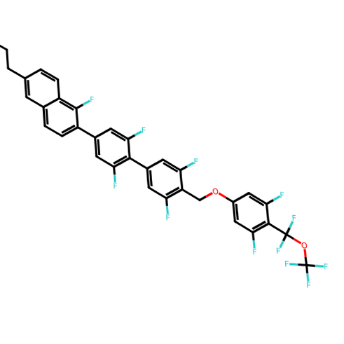 CCCc1ccc2c(F)c(-c3cc(F)c(-c4cc(F)c(COc5cc(F)c(C(F)(F)OC(F)(F)F)c(F)c5)c(F)c4)c(F)c3)ccc2c1